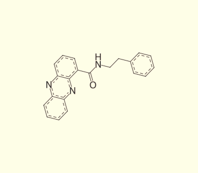 O=C(NCCc1ccccc1)c1cccc2nc3ccccc3nc12